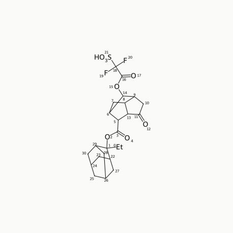 CCC1(OC(=O)C2C3CC4C(CC(=O)C42)C3OC(=O)C(F)(F)S(=O)(=O)O)C2CC3CC(C2)CC1C3